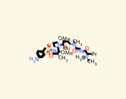 CC[C@H](C)[C@@H]([C@@H](CC(=O)N1CCC[C@H]1[C@H](OC)[C@@H](C)C(=O)NS(=O)(=O)Cc1ccc(N)cc1)OC)N(C)C(=O)CNC(=O)C(C(C)C)N(C)C